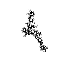 COC(=O)[C@H](Cc1ccc(Oc2ccnc(C)c2C)cc1)NC(=O)[C@@H]1Cc2cc3c(cc2CN1C(=O)N[C@@H](C)c1ccccc1)O[C@@H](c1ccc(OCc2ccc(Cl)c(Cl)c2)cc1)CO3